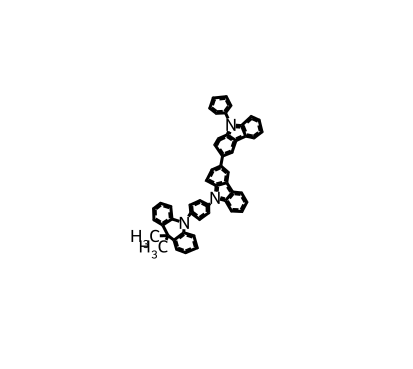 CC1(C)c2ccccc2N(c2ccc(-n3c4ccccc4c4cc(-c5ccc6c(c5)c5ccccc5n6-c5ccccc5)ccc43)cc2)c2ccccc21